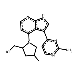 Nc1nccc(-c2c[nH]c3nccc(N4CC(F)CC4CO)c23)n1